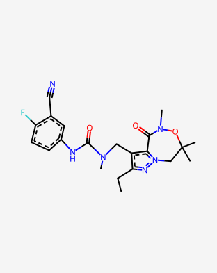 CCc1nn2c(c1CN(C)C(=O)Nc1ccc(F)c(C#N)c1)C(=O)N(C)OC(C)(C)C2